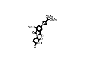 COc1cc(N2CC(C(OC)OC)C2)cc2c1C(=O)N(C1CCC(=O)NC1=O)C2=O